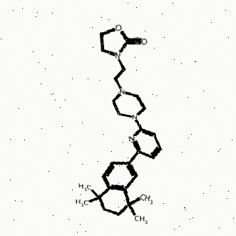 CC1(C)CCC(C)(C)c2cc(-c3cccc(N4CCN(CCN5CCOC5=O)CC4)n3)ccc21